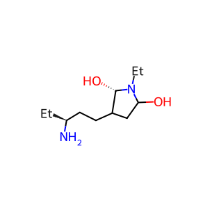 CC[C@H](N)CCC1CC(O)N(CC)[C@H]1O